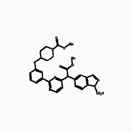 CC(C)(C)OC(=O)N1CCC(Oc2cccc(-c3nccc(N(C(=O)OC(C)(C)C)c4ccc5c(cnn5C(=O)O)c4)n3)c2)CC1